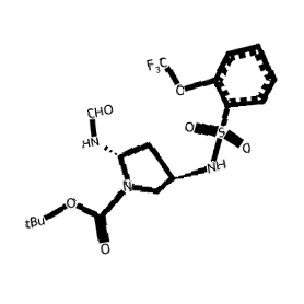 CC(C)(C)OC(=O)N1C[C@H](NS(=O)(=O)c2ccccc2OC(F)(F)F)C[C@H]1NC=O